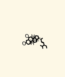 CCC(C=CC(C)[C@H]1CC[C@H]2[C@@H]3CC(=O)C4CC(=O)CC[C@]4(C)[C@H]3CC[C@]12C)C(C)C